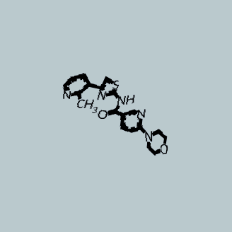 Cc1ncccc1-c1csc(NC(=O)c2ccc(N3CCOCC3)nc2)n1